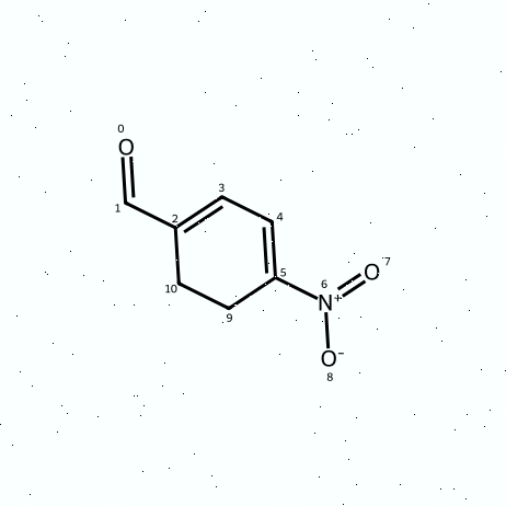 O=CC1=CC=C([N+](=O)[O-])CC1